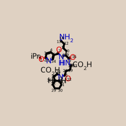 CC(C)Oc1ccc(C(=O)N[C@@H](CCCCN)C(=O)N[C@H](CCC(=O)N2[C@H](C(=O)O)C[C@@H]3CCCC[C@@H]32)C(=O)O)cn1